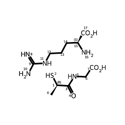 C[C@@H](S)C(=O)NCC(=O)O.N=C(N)NCCC[C@H](N)C(=O)O